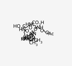 CC(=O)COCCOCCNC(=O)CCC(NC(=O)CCC(NC(=O)CCCS(=O)(=O)NC(=O)CC(C)(C)CC(C)(C)Cc1nnn[nH]1)C(=O)O)C(=O)O